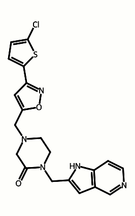 O=C1CN(Cc2cc(-c3ccc(Cl)s3)no2)CCN1Cc1cc2cnccc2[nH]1